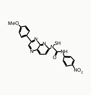 COc1ccc(-c2cnc3ccc(N(S)C(=O)Nc4ccc([N+](=O)[O-])cc4)nc3n2)cc1